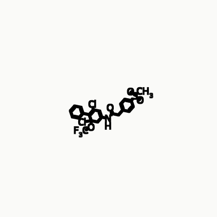 CS(=O)(=O)c1ccc(CC(=O)NC2=CC(Cl)=C(c3ccccc3)C(Cl)(OC(F)(F)F)C2)cc1